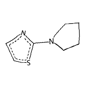 c1csc(N2CCCC2)n1